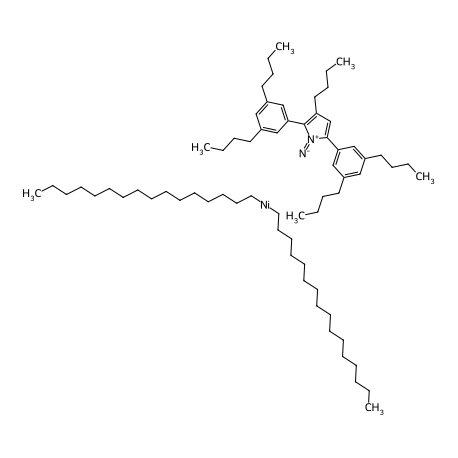 CCCCC1=C(c2cc(CCCC)cc(CCCC)c2)[N+](=[N-])C(c2cc(CCCC)cc(CCCC)c2)=C1.CCCCCCCCCCCCCCC[CH2][Ni][CH2]CCCCCCCCCCCCCCC